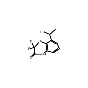 CC(O)c1cccc2c1OC(F)(F)C(=O)N2